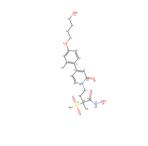 Cc1cc(OCCCCO)ccc1-c1ccn(CCC(C)(C(=O)NO)S(C)(=O)=O)c(=O)c1